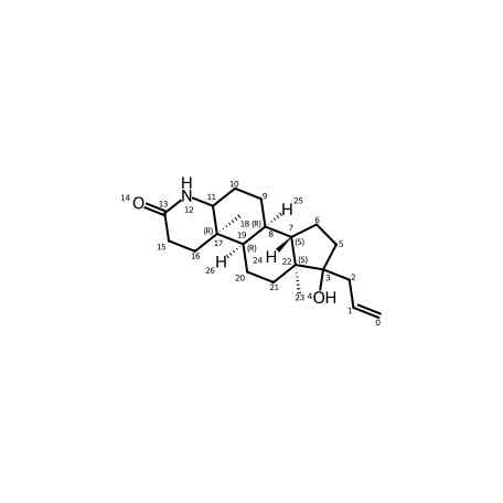 C=CCC1(O)CC[C@H]2[C@@H]3CCC4NC(=O)CC[C@]4(C)[C@@H]3CC[C@@]21C